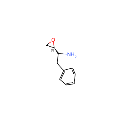 NC(Cc1ccccc1)[C@H]1CO1